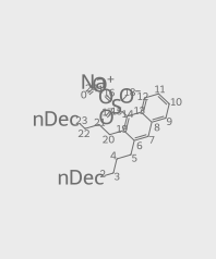 C=O.CCCCCCCCCCCCCc1cc2ccccc2c(S(=O)(=O)[O-])c1CCCCCCCCCCCCC.[Na+]